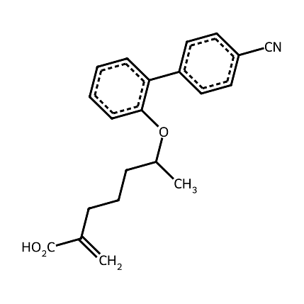 C=C(CCCC(C)Oc1ccccc1-c1ccc(C#N)cc1)C(=O)O